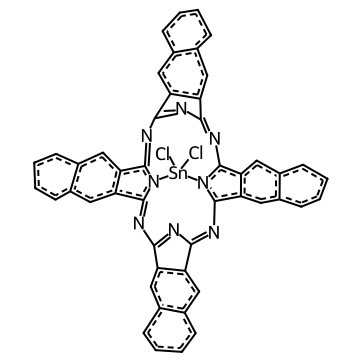 [Cl][Sn]1([Cl])[n]2c3c4cc5ccccc5cc4c2N=C2N=C(N=c4c5cc6ccccc6cc5c([n]41)=NC1=NC(=N3)c3cc4ccccc4cc31)c1cc3ccccc3cc12